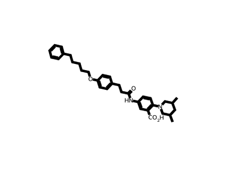 CC1CC(C)CN(c2ccc(NC(=O)CCc3ccc(OCCCCCc4ccccc4)cc3)cc2C(=O)O)C1